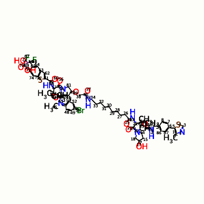 Cc1ncsc1-c1ccc(CNC(=O)[C@@H]2C[C@@H](O)CN2C(=O)[C@@H](NC(=O)CCCCCCCCCNC(=O)CO[C@@H]2C[C@@H](C(=O)N(C)c3ccc(Br)cc3)N(C(=O)[C@@H](NC(=O)c3cc4cc(C(F)(F)P(=O)(O)O)ccc4s3)C(C)(C)C)C2)C(C)(C)C)cc1